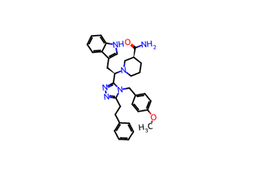 COc1ccc(Cn2c(CCc3ccccc3)nnc2[C@@H](Cc2c[nH]c3ccccc23)N2CCC[C@H](C(N)=O)C2)cc1